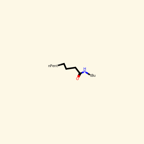 CCCCCCCCC(=O)NC(C)(C)C